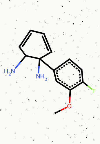 COc1cc(C2(N)C=CC=CC2N)ccc1F